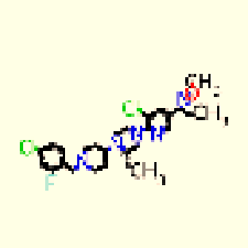 CCC(=NOC)c1cnc(N2CCN(C3CCN(Cc4ccc(Cl)cc4F)CC3)[C@@H](CC)C2)c(Cl)c1